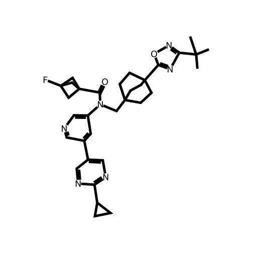 CC(C)(C)c1noc(C23CCC(CN(C(=O)C45CC(F)(C4)C5)c4cncc(-c5cnc(C6CC6)nc5)c4)(CC2)CC3)n1